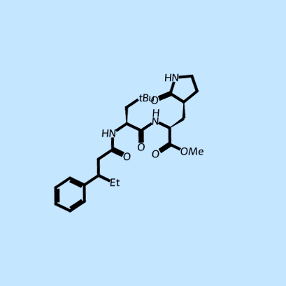 CCC(CC(=O)N[C@@H](CC(C)(C)C)C(=O)N[C@@H](C[C@@H]1CCNC1=O)C(=O)OC)c1ccccc1